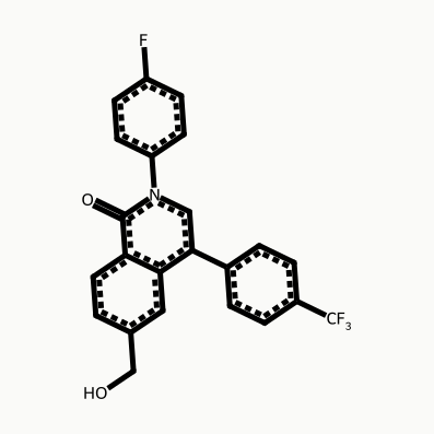 O=c1c2ccc(CO)cc2c(-c2ccc(C(F)(F)F)cc2)cn1-c1ccc(F)cc1